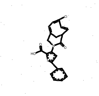 O=C(O)c1sc(-c2ccccc2)cc1N1C/C2=C/C=C(Cl)\C=C\C(C2)C1=O